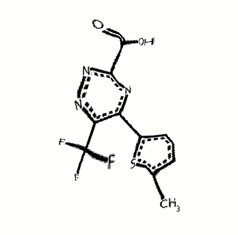 Cc1ccc(-c2nc(C(=O)O)nnc2C(F)(F)F)s1